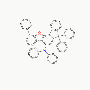 c1ccc(-c2cccc3c2oc2c4c(cc(N(c5ccccc5)c5ccccc5)c23)C(c2ccccc2)(c2ccccc2)c2ccccc2-4)cc1